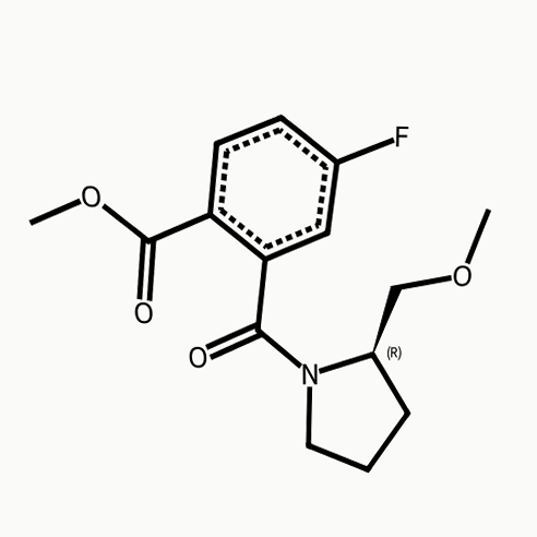 COC[C@H]1CCCN1C(=O)c1cc(F)ccc1C(=O)OC